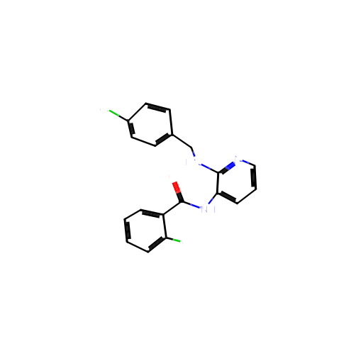 O=C(Nc1cccnc1NCc1ccc(Cl)cc1)c1ccccc1Cl